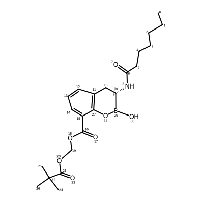 CCCCCCC(=O)N[C@H]1Cc2cccc(C(=O)OCOC(=O)C(C)(C)C)c2OB1O